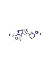 Cc1cccc(C(C)Cc2ccnc(C(C)C)n2)n1